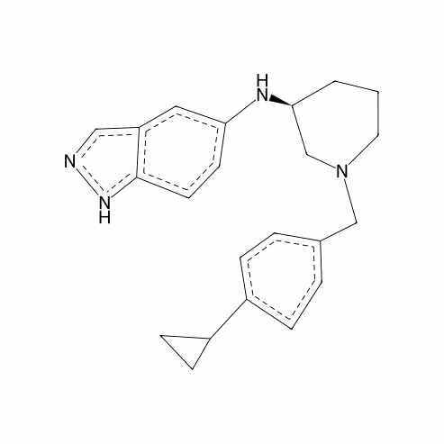 c1cc(C2CC2)ccc1CN1CCC[C@H](Nc2ccc3[nH]ncc3c2)C1